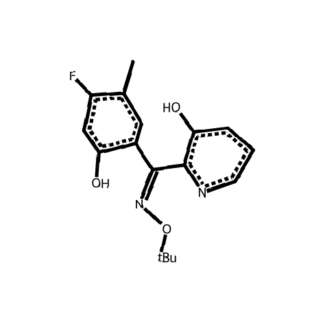 Cc1cc(/C(=N/OC(C)(C)C)c2ncccc2O)c(O)cc1F